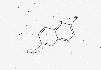 [2H]c1cnc2cc(C(=O)O)ccc2n1